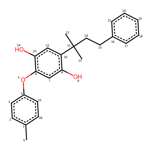 Cc1ccc(Oc2cc(O)c(C(C)(C)CCc3ccccc3)cc2O)cc1